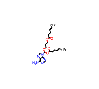 CCCC=CCCC(=O)OCCCOC(OC(=O)CCC=CCCC)n1cnc2c(N)ncnc21